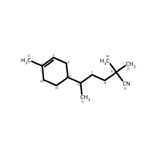 CC1=CCC(C(C)CCC(C)(C)C#N)CC1